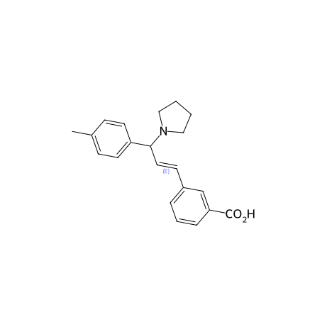 Cc1ccc(C(/C=C/c2cccc(C(=O)O)c2)N2CCCC2)cc1